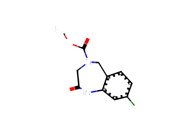 CC(C)(C)OC(=O)N1CC(=O)Nc2cc(Cl)ccc2C1